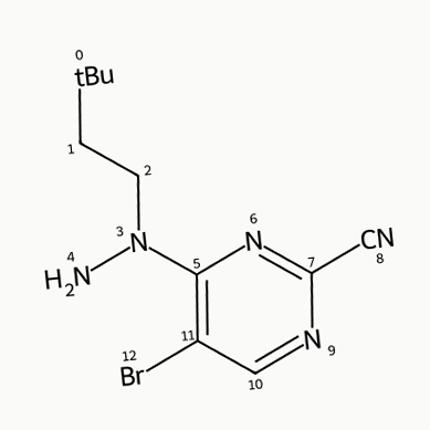 CC(C)(C)CCN(N)c1nc(C#N)ncc1Br